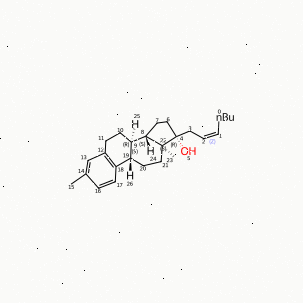 CCCC/C=C\C[C@]1(O)CC[C@H]2[C@@H]3CCc4cc(C)ccc4[C@H]3CC[C@@]21C